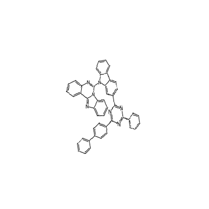 c1ccc(-c2ccc(-c3nc(-c4ccccc4)nc(-c4ccc5c6ccccc6n(-c6nc7ccccc7c7nc8ccccc8n67)c5c4)n3)cc2)cc1